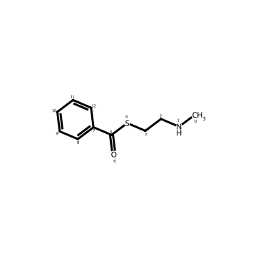 CNCCSC(=O)c1ccccc1